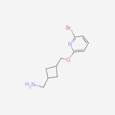 NCC1CC(COc2cccc(Br)n2)C1